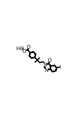 CC(C)(CCn1cnc2ccc(I)cc2c1=O)c1ccc(C(=O)OO)cc1